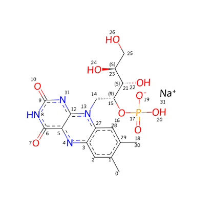 Cc1cc2nc3c(=O)[nH]c(=O)nc-3n(C[C@@H](OP(=O)([O-])O)[C@@H](O)[C@@H](O)CO)c2cc1C.[Na+]